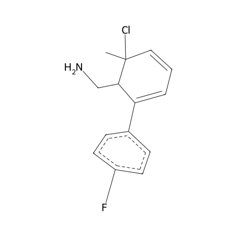 CC1(Cl)C=CC=C(c2ccc(F)cc2)C1CN